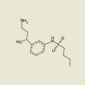 CCCCS(=O)(=O)Nc1cccc(C(O)CCN)c1